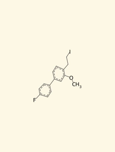 COc1cc(-c2ccc(F)cc2)ccc1CCI